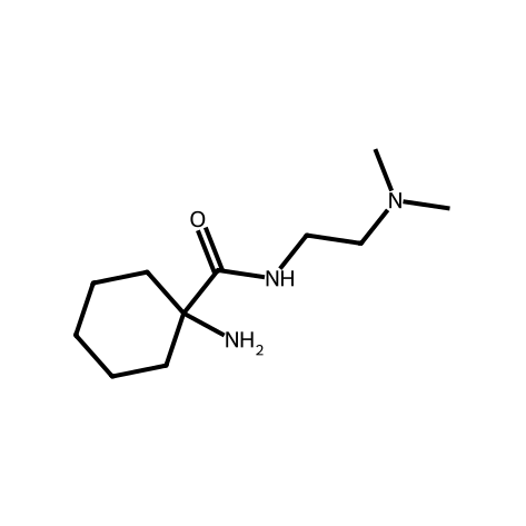 CN(C)CCNC(=O)C1(N)CCCCC1